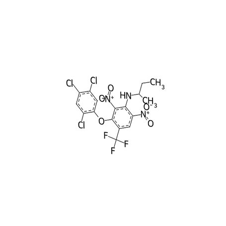 CCC(C)Nc1c([N+](=O)[O-])cc(C(F)(F)F)c(Oc2cc(Cl)c(Cl)cc2Cl)c1[N+](=O)[O-]